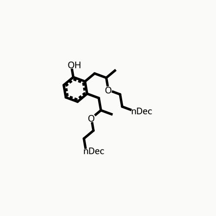 CCCCCCCCCCCCOC(C)Cc1cccc(O)c1CC(C)OCCCCCCCCCCCC